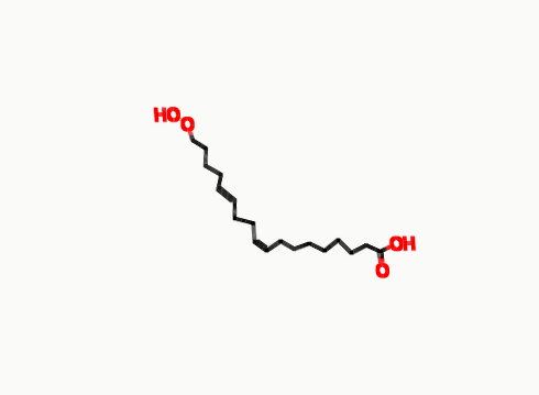 O=C(O)CCCCCCC/C=C\CC/C=C/CCCCOO